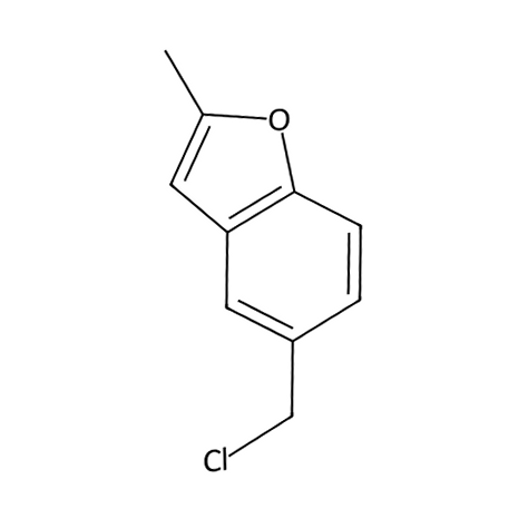 Cc1cc2cc(CCl)ccc2o1